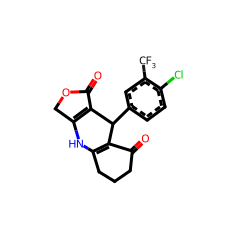 O=C1CCCC2=C1C(c1ccc(Cl)c(C(F)(F)F)c1)C1=C(COC1=O)N2